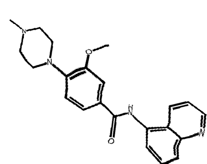 COc1cc(C(=O)Nc2cccc3ncccc23)ccc1N1CCN(C)CC1